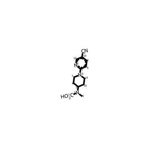 CN(C(=O)O)C1CCN(c2ccc(C#N)cn2)CC1